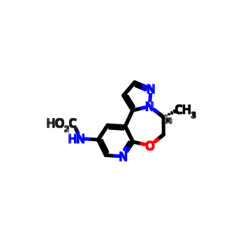 C[C@@H]1COc2ncc(NC(=O)O)cc2-c2ccnn21